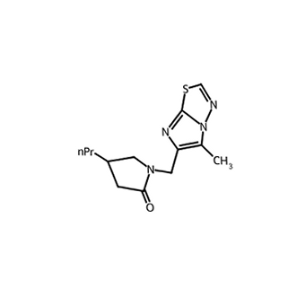 CCCC1CC(=O)N(Cc2nc3scnn3c2C)C1